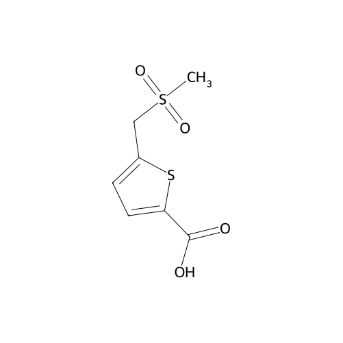 CS(=O)(=O)Cc1ccc(C(=O)O)s1